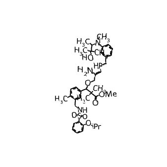 COC(=O)C(C)(C)C(OC/C(N)=C/PCc1cccc(N(C)C(C)C(C)(C)O)c1)c1ccc(C)c(CNS(=O)(=O)c2ccccc2OC(C)C)c1